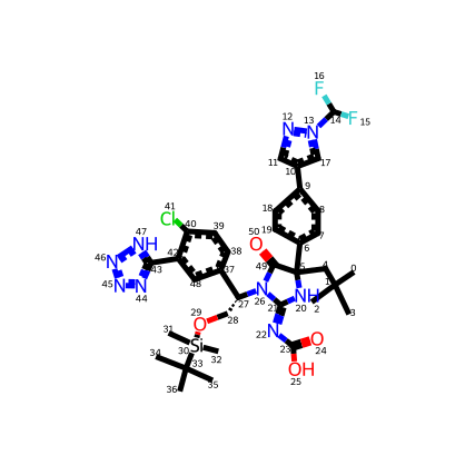 CC(C)(C)CC1(c2ccc(-c3cnn(C(F)F)c3)cc2)NC(=NC(=O)O)N([C@H](CO[Si](C)(C)C(C)(C)C)c2ccc(Cl)c(-c3nnn[nH]3)c2)C1=O